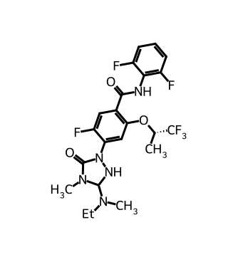 CCN(C)C1NN(c2cc(O[C@@H](C)C(F)(F)F)c(C(=O)Nc3c(F)cccc3F)cc2F)C(=O)N1C